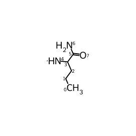 CCCC([NH])C(N)=O